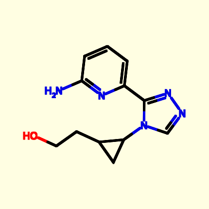 Nc1cccc(-c2nncn2C2CC2CCO)n1